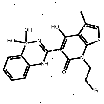 Cc1csc2c1c(O)c(C1=NS(O)(O)c3ccccc3N1)c(=O)n2CCC(C)C